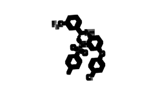 Cc1ccc(S(=O)(=O)NC[C@@H](Nc2ccc(Oc3ccc(Cl)cc3)cc2)c2cccc(C(F)(F)F)c2)cc1